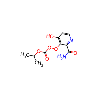 CC(C)OC(=O)OOc1c(O)ccnc1C(N)=O